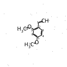 [CH]=Cc1ccc(OC)cc1OC